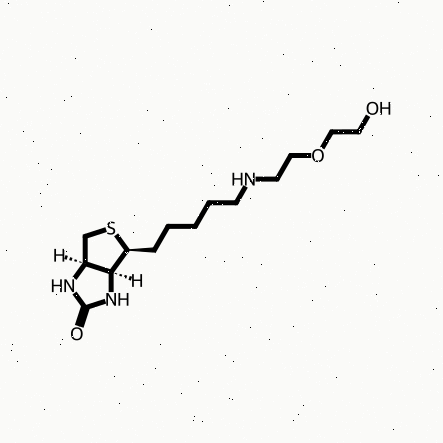 O=C1N[C@H]2[C@H](CS[C@H]2CCCCCNCCOCCO)N1